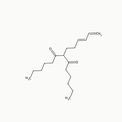 C=C/C=C/CCC(C(=O)CCCCC)C(=O)CCCCC